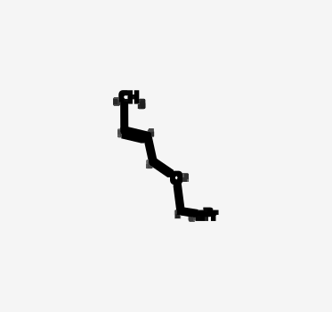 [CH2]CCCOCC=CC